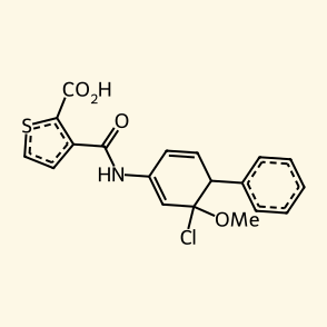 COC1(Cl)C=C(NC(=O)c2ccsc2C(=O)O)C=CC1c1ccccc1